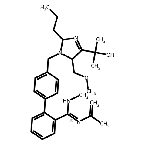 C=C(C)/N=C(\NC)c1ccccc1-c1ccc(CN2C(CCC)N=C(C(C)(C)O)C2COC)cc1